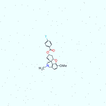 COc1ccc2c3c1OC1C[C@@H](OC(=O)c4ccc(F)cc4)C=C[C@@]31CCN(C)C2